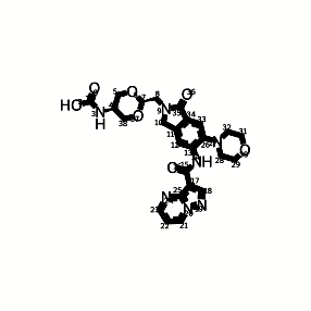 O=C(O)N[C@H]1CO[C@@H](CN2Cc3cc(NC(=O)c4cnn5cccnc45)c(N4CCOCC4)cc3C2=O)OC1